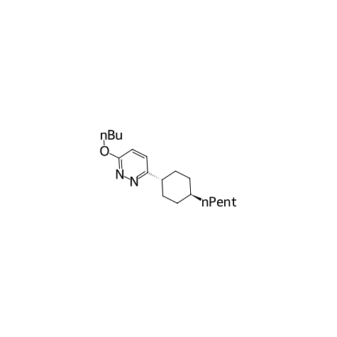 CCCCC[C@H]1CC[C@H](c2ccc(OCCCC)nn2)CC1